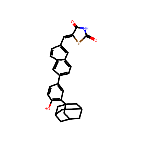 O=C1NC(=O)C(=Cc2ccc3cc(-c4ccc(O)c(C56CC7CC(CC(C7)C5)C6)c4)ccc3c2)S1